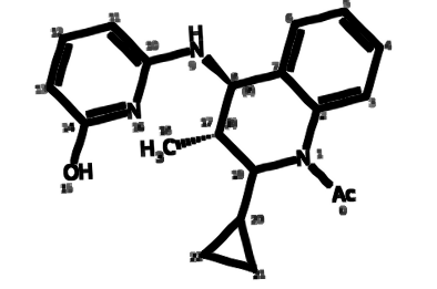 CC(=O)N1c2ccccc2[C@H](Nc2cccc(O)n2)[C@@H](C)C1C1CC1